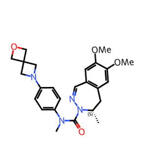 COc1cc2c(cc1OC)C[C@H](C)N(C(=O)N(C)c1ccc(N3CC4(COC4)C3)cc1)N=C2